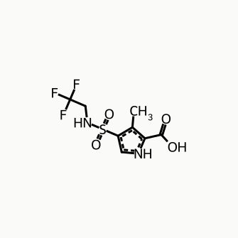 Cc1c(S(=O)(=O)NCC(F)(F)F)c[nH]c1C(=O)O